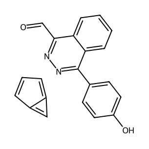 O=Cc1nnc(-c2ccc(O)cc2)c2ccccc12.c1cc2cc-2c1